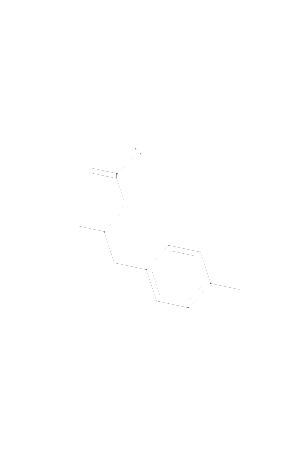 CC(C)(C)C(Cc1ccc(Br)cc1)OC(N)=O